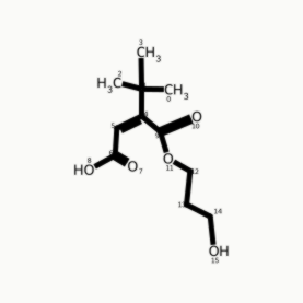 CC(C)(C)C(=CC(=O)O)C(=O)OCCCO